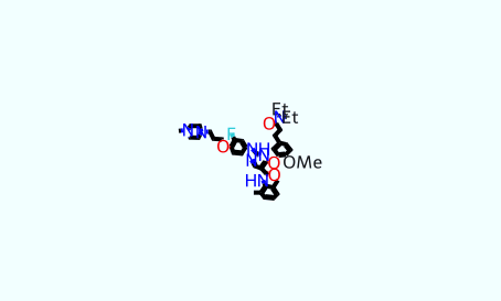 CCN(CC)C(=O)CCc1ccc(OC)c(Oc2nc(Nc3ccc(OCCCN4CCN(C)CC4)c(F)c3)ncc2C(=O)Nc2c(C)cccc2C)c1